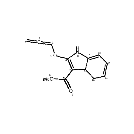 C=C=COC1=C(C(=O)OC)C2CC=CC=C2N1